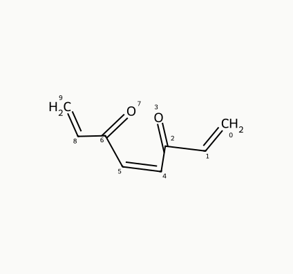 C=CC(=O)/C=C\C(=O)C=C